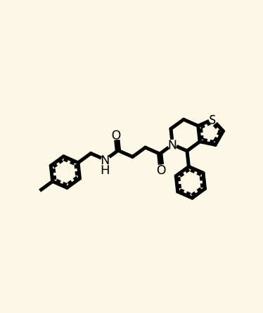 Cc1ccc(CNC(=O)CCC(=O)N2CCc3sccc3C2c2ccccc2)cc1